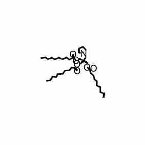 CCCCCCCCCC(=O)OCC(COC(=O)CCCCCCCCC)(COC(=O)CCCCCCCCC)CN1CCCC1